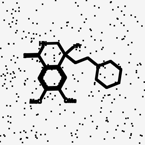 CCCC1(CCN2CCCCC2)CNC(=S)c2cc(OC)c(OC)cc21